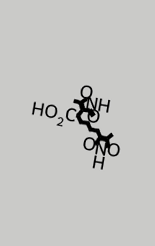 CC1=C(CCCCC(C(=O)O)C2=C(C)C(=O)NC2=O)C(=O)NC1=O